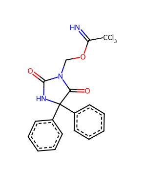 N=C(OCN1C(=O)NC(c2ccccc2)(c2ccccc2)C1=O)C(Cl)(Cl)Cl